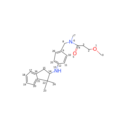 COCCC(=O)N(C)Cc1ccc(NC2Cc3ccccc3C2(C)C)cc1